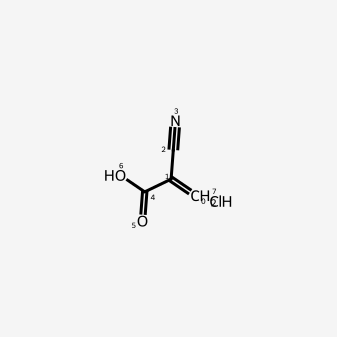 C=C(C#N)C(=O)O.Cl